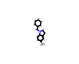 CC(C)c1ccc2c(c1)CCN2CC1CCCCC1